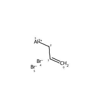 C=C[CH2][Al+2].[Br-].[Br-]